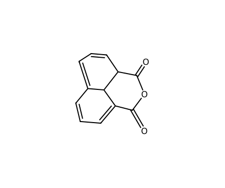 O=C1OC(=O)C2C=CC=C3C=CC=C1C32